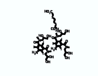 CN(CC(O)CO)C(=O)c1c(I)c(N)c(I)c(C(=O)N(C)CC(O)CO)c1I.CN(CC(O)CO)C(=O)c1c(I)c(N)c(I)c(C(=O)N(C)CC(O)CO)c1I.O=C(O)CSCCSCC(=O)O